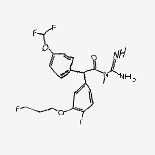 CN(C(=N)N)C(=O)C(c1ccc(OC(F)F)cc1)c1ccc(F)c(OCCCF)c1